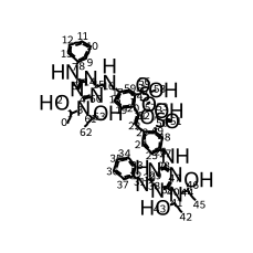 CC(O)N(c1nc(Nc2ccccc2)nc(Nc2ccc(C=Cc3ccc(Nc4nc(Nc5ccccc5)nc(N(C(C)O)C(C)O)n4)cc3S(=O)(=O)O)c(S(=O)(=O)O)c2)n1)C(C)O